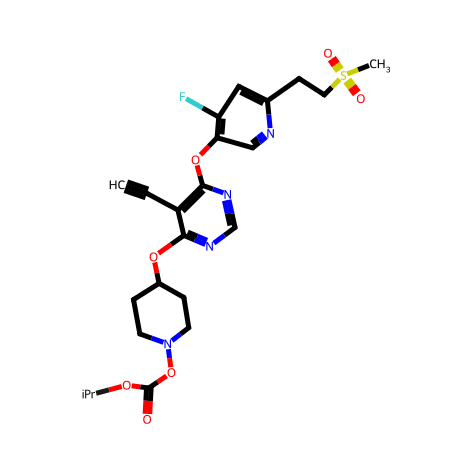 C#Cc1c(Oc2cnc(CCS(C)(=O)=O)cc2F)ncnc1OC1CCN(OC(=O)OC(C)C)CC1